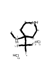 CNC1(C(F)(F)F)CCNCC1.Cl.Cl